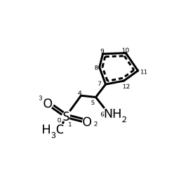 CS(=O)(=O)CC(N)c1ccccc1